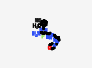 Cc1c(C#N)cccc1-c1nc(N)c(F)c(-c2cn(Cc3ccn(CN4CCOCC4)n3)nn2)n1